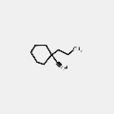 C#CC1(CCC)CCCCC1